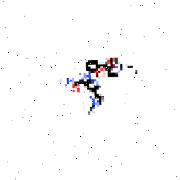 C/C(=C1\C=CC=C(n2nc(C(N)=O)c3cc(-c4ccn(C)n4)cnc32)C1C)[C@]1(O)CCN(C)C1=O